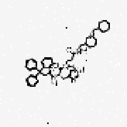 O=C(CCNC(=O)[C@@H](Cc1c[nH]cn1)NC(=O)CC(c1ccccc1)(c1ccccc1)c1ccccc1)NCC1CCCN(CC2CCCCC2)C1